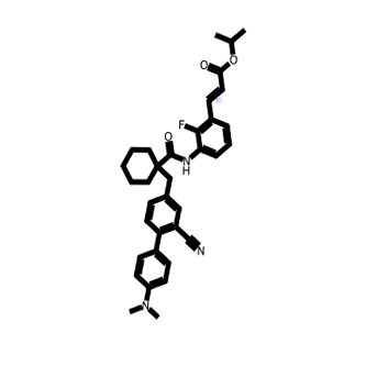 CC(C)OC(=O)/C=C/c1cccc(NC(=O)C2(Cc3ccc(-c4ccc(N(C)C)cc4)c(C#N)c3)CCCCC2)c1F